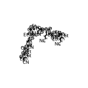 CCOP(=O)(CC#N)OCC.CCOP(=O)(CCC#N)OCC.CCOP(=O)(CCCC#N)OCC.CCOP(=O)(CCCCC#N)OCC.CCOP(=O)(OCC)C(C#N)CC.CCOP(=O)(OCC)C(C)C#N.CCOP(=O)(OCC)C(C)CC#N.CCOP(=O)(OCC)C(C)CCC#N